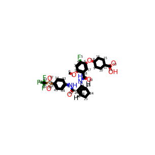 COc1cc(F)c(OC2CCC(C(=O)O)CC2)cc1C(=O)N[C@@H]1[C@H]2CC[C@H](C2)[C@@H]1C(=O)Nc1ccc(S(=O)(=O)C(F)(F)F)cc1